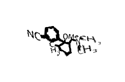 COC1(c2cccc(C#N)c2)C(C)CCCC1CN(C)C